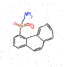 NS(=O)(=O)c1cccc2ccc3ccccc3c12